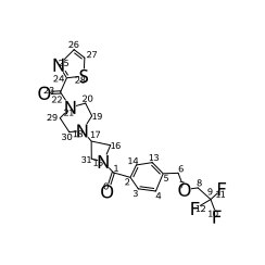 O=C(c1ccc(COCC(F)(F)F)cc1)N1CC(N2CCN(C(=O)c3nccs3)CC2)C1